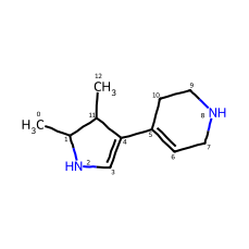 CC1NC=C(C2=CCNCC2)C1C